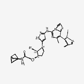 Cc1cnn(C)c1-c1c(C)nc(Nc2cc([C@H]3CC[C@@H](OC(=O)NC45CC(C4)C5)[C@H]3F)[nH]n2)n2ccnc12